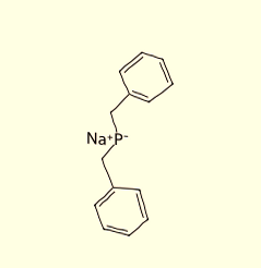 [Na+].c1ccc(C[P-]Cc2ccccc2)cc1